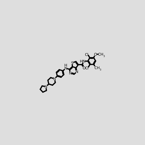 COc1cc(C)c(Cl)c(NC(=O)c2csc3c(Nc4ccc(N5CCC(N6CCCC6)CC5)cc4)ncnc23)c1Cl